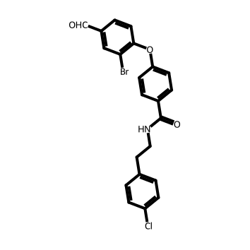 O=Cc1ccc(Oc2ccc(C(=O)NCCc3ccc(Cl)cc3)cc2)c(Br)c1